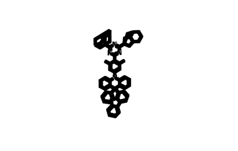 Cc1cc(N2c3ccccc3C(c3ccccc3)(c3cccc4c3sc3ccccc34)c3ccccc32)cc(C)c1-c1nc(C23CC4CCCC(C2)C4C3)nc(C23CC4CC(C2)C2C(C4)C2C3)n1